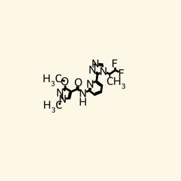 COc1nn(C)cc1C(=O)Nc1cccc(-c2nncn2[C@H](C)C(F)F)n1